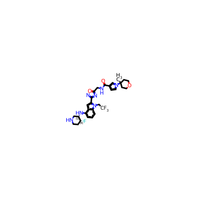 CC1(n2ccc(C(=O)NCc3nc(-c4cc5c(N[C@H]6CNCC[C@H]6F)cccc5n4CC(F)(F)F)no3)c2)CCOCC1